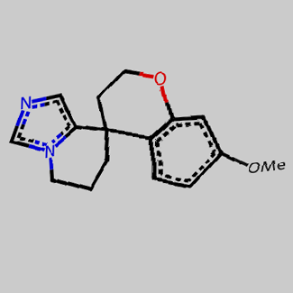 COc1ccc2c(c1)OCCC21CCCn2cncc21